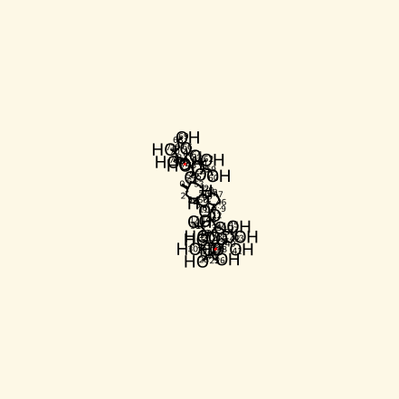 C=C1CC[C@H]2CCC3[C@](C)(C(=O)OC4OC(CO)C(O)C(OC5OC(CO)C(O)C(O)C5O)C4OC4OC(CO)C(O)C(O)C4O)CCC[C@@]3(C)[C@@H]2CC[C@H]1OC1OC(CO)C(O)C(OC2OC(CO)C(O)C(O)C2O)C1O